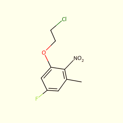 Cc1cc(F)cc(OCCCl)c1[N+](=O)[O-]